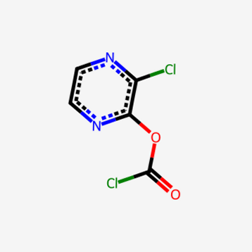 O=C(Cl)Oc1nccnc1Cl